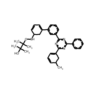 CC1C=CC=C(c2nc(-c3ccccc3)nc(-c3cccc(C4=CC=CC(BOC(C)(C)C(C)(C)O)C4)c3)n2)C1